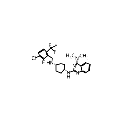 CN(C)c1nc(N[C@H]2CC[C@@H](NCc3c(C(F)(F)F)ccc(Cl)c3F)CC2)nc2ccccc12